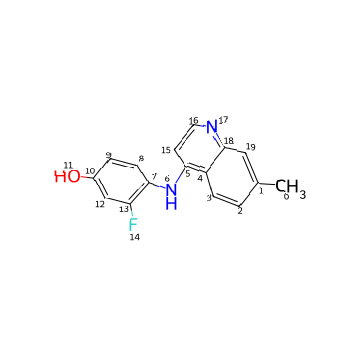 Cc1ccc2c(Nc3ccc(O)cc3F)ccnc2c1